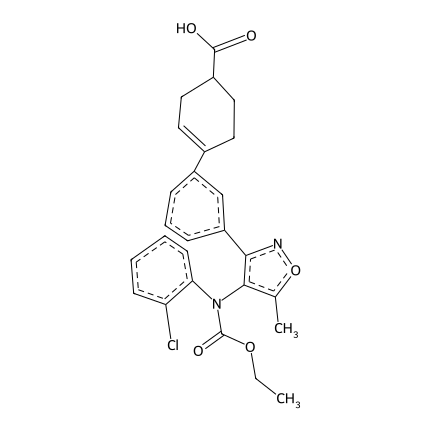 CCOC(=O)N(c1ccccc1Cl)c1c(-c2cccc(C3=CCC(C(=O)O)CC3)c2)noc1C